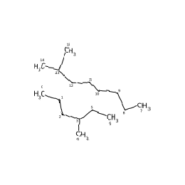 CCCC(C)CC.CCCCCCC(C)C